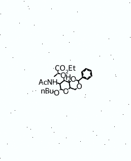 CCCCO[C@H]1OC2COC(c3ccccc3)O[C@H]2[C@H](O[C@@H](C)C(=O)OCC)C1NC(C)=O